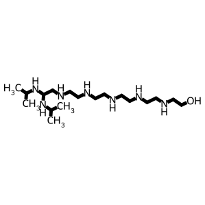 CC(C)NC(CNCCNCCNCCNCCNCCO)NC(C)C